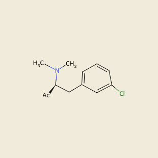 CC(=O)[C@H](Cc1cccc(Cl)c1)N(C)C